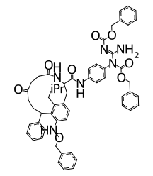 CC(C)Cc1c2ccc(NOCc3ccccc3)c1C(c1ccccc1)CCC(=O)CCC(=O)NC(C(=O)Nc1ccc(N(C(=O)OCc3ccccc3)C(N)=NC(=O)OCc3ccccc3)cc1)C2